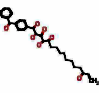 C=CC(=O)CCCCCCCCC(=O)C(=O)C(=O)C(=O)C(=O)c1ccc(C(=O)c2ccccc2)cc1